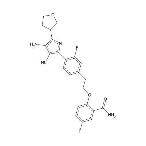 N#Cc1c(-c2ccc(CCOc3ccc(F)cc3C(N)=O)cc2F)nn(C2CCOC2)c1N